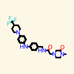 CN1CCN(CC(=O)NCc2ccc(Nc3ccc(N4CCC(C(F)(F)F)CC4)cc3)cc2)CC1=O